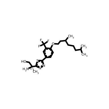 CC(C)CCCC(C)CCOc1ccc(-c2nnc([C@@](C)(N)CO)s2)cc1C(F)(F)F